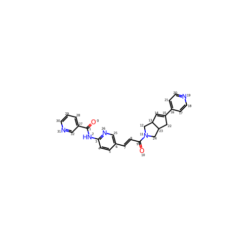 O=C(Nc1ccc(/C=C/C(=O)N2CC3C=C(c4ccncc4)CC3C2)cn1)c1cccnc1